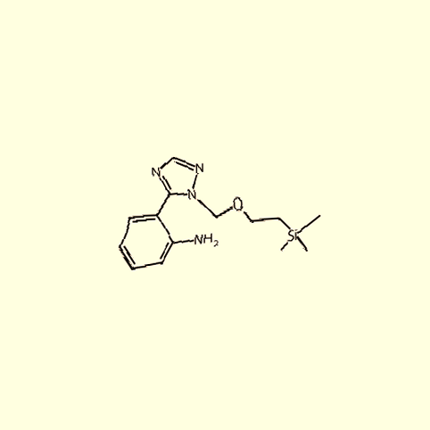 C[Si](C)(C)CCOCn1ncnc1-c1ccccc1N